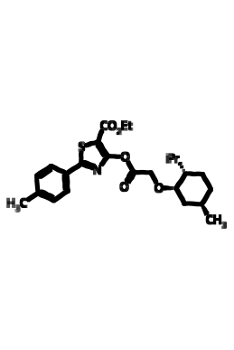 CCOC(=O)c1sc(-c2ccc(C)cc2)nc1OC(=O)CO[C@@H]1C[C@H](C)CC[C@H]1C(C)C